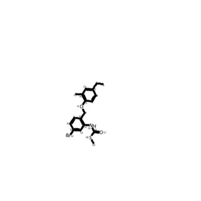 CCc1ccc(OCc2ccc(Br)cc2NC(=O)SC)c(C)c1